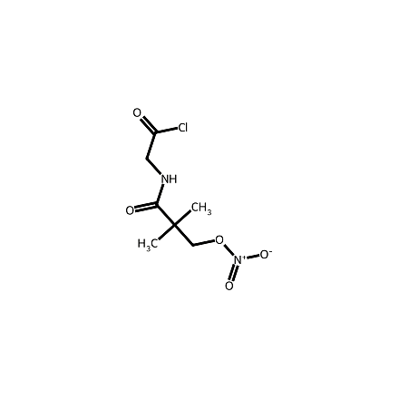 CC(C)(CO[N+](=O)[O-])C(=O)NCC(=O)Cl